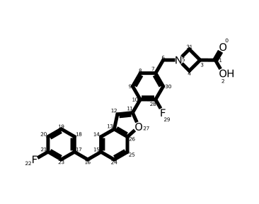 O=C(O)C1CN(Cc2ccc(-c3cc4cc(Cc5cccc(F)c5)ccc4o3)c(F)c2)C1